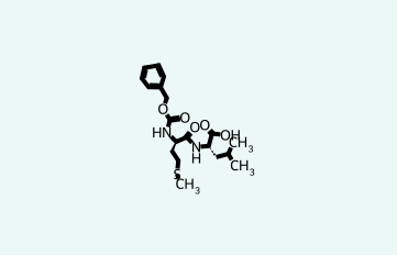 CSCC[C@@H](NC(=O)OCc1ccccc1)C(=O)N[C@@H](CC(C)C)C(=O)O